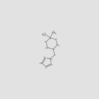 CC1(C)COC(Cn2ccnc2)OC1